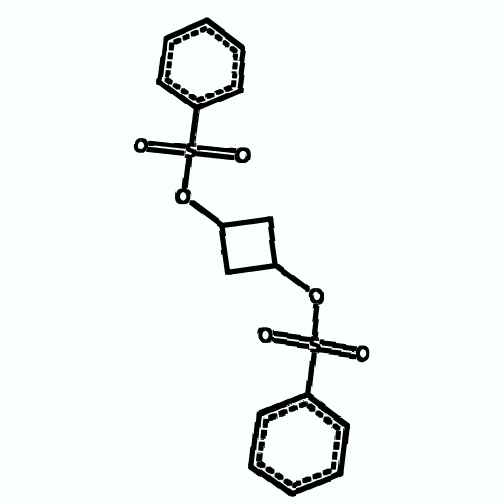 O=S(=O)(OC1CC(OS(=O)(=O)c2ccccc2)C1)c1ccccc1